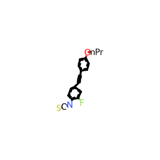 CCCOc1ccc(C#Cc2ccc(N=C=S)c(F)c2)cc1